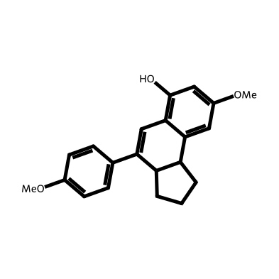 COc1ccc(C2=Cc3c(O)cc(OC)cc3C3CCCC23)cc1